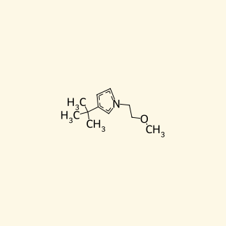 COCCn1ccc(C(C)(C)C)c1